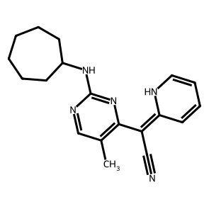 Cc1cnc(NC2CCCCCC2)nc1/C(C#N)=C1/C=CC=CN1